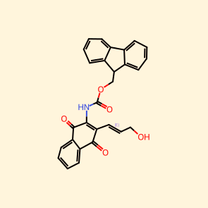 O=C(NC1=C(/C=C/CO)C(=O)c2ccccc2C1=O)OCC1c2ccccc2-c2ccccc21